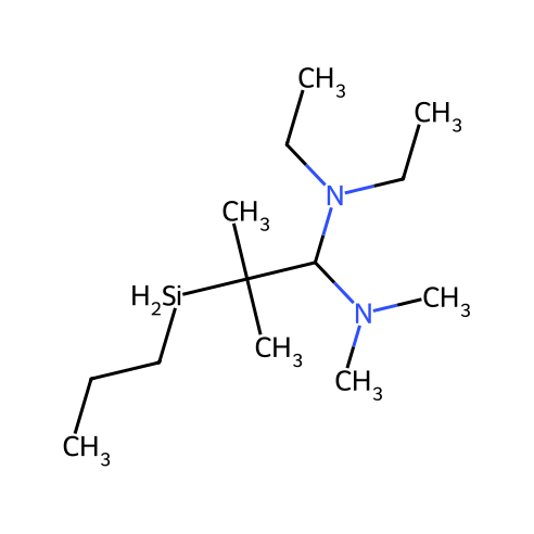 CCC[SiH2]C(C)(C)C(N(C)C)N(CC)CC